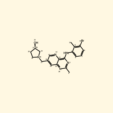 Cc1nc(Nc2cccc(Br)c2C)c2ncc(CN3CC[C@@H](O)C3)cc2n1